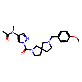 COc1ccc(CN2CCC3(CCN(C(=O)n4cc(N(C)C(C)=O)cn4)C3)C2)cc1